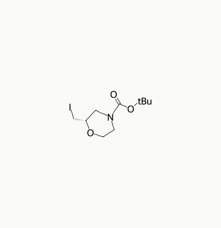 CC(C)(C)OC(=O)N1CCO[C@H](CI)C1